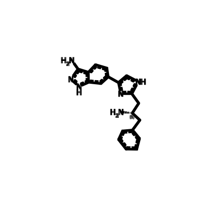 Nc1n[nH]c2cc(-c3c[nH]c(C[C@@H](N)Cc4ccccc4)n3)ccc12